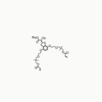 C=CC(=O)OCC(C)(C)COCCOc1ccc(OCCOCC(C)(C)COC(=O)C=C)c2c1SC(=C(C#N)C(=O)OC)S2